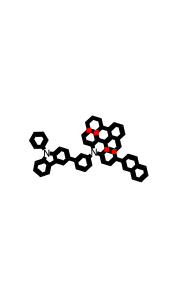 c1ccc(-n2c3ccccc3c3cc(-c4cccc(N(c5ccc(-c6ccc7ccccc7c6)cc5)c5ccccc5-c5cccc6cccc(C7CCCCC7)c56)c4)ccc32)cc1